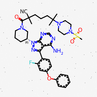 CC(C#N)(CCCC(C)(C)N1CCN(S(C)(=O)=O)CC1)C(=O)N1CCC[C@@H](n2nc(-c3ccc(Oc4ccccc4)cc3F)c3c(N)ncnc32)C1